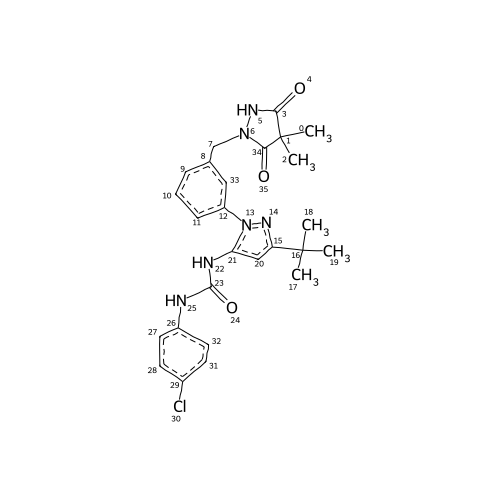 CC1(C)C(=O)NN(Cc2cccc(-n3nc(C(C)(C)C)cc3NC(=O)Nc3ccc(Cl)cc3)c2)C1=O